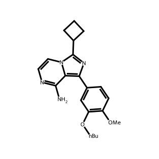 CCCCOc1cc(-c2nc(C3CCC3)n3ccnc(N)c23)ccc1OC